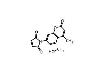 CO.Cc1cc(=O)oc2cc(N3C(=O)C=CC3=O)ccc12